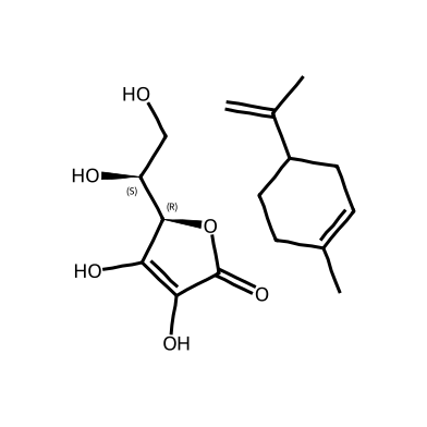 C=C(C)C1CC=C(C)CC1.O=C1O[C@H]([C@@H](O)CO)C(O)=C1O